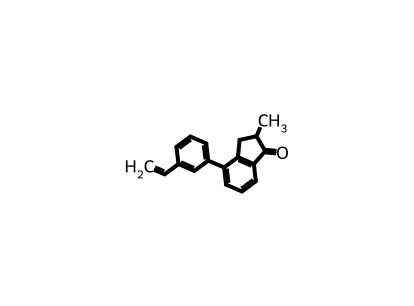 C=Cc1cccc(-c2cccc3c2CC(C)C3=O)c1